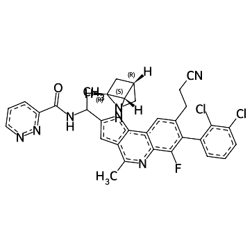 Cc1nc2c(F)c(-c3cccc(Cl)c3Cl)c(CCC#N)cc2c2c1cc(C(C)NC(=O)c1cccnn1)n2[C@H]1[C@H]2CN[C@@H]1C2